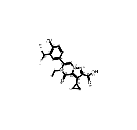 CCn1c(-c2ccc(Cl)c(C(F)F)c2)cn2nc(C(=O)O)c(C3CC3)c2c1=O